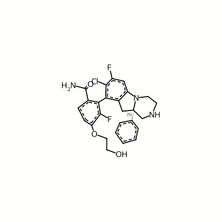 NC(=O)c1ccc(OCCO)c(F)c1-c1c(Cl)c(F)cc2c1C[C@]1(c3ccccc3)CNCCN21